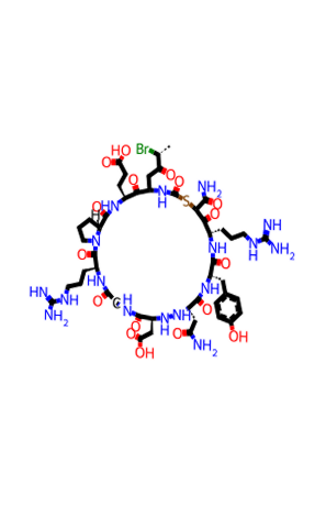 C[C@@H](Br)C(=O)CC1NC(=O)SC(C(N)=O)C(=O)[C@H](CCCNC(=N)N)NC(=O)[C@H](Cc2ccc(O)cc2)NC(=O)[C@H](CC(N)=O)NN[C@@H](CC(=O)O)C(=O)NCC(=O)N[C@@H](CCCNC(=N)N)C(=O)N2CCC[C@H]2C(=O)N[C@@H](CCC(=O)O)C1=O